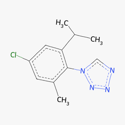 Cc1cc(Cl)cc(C(C)C)c1-n1cnnn1